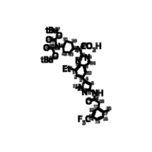 CCc1cc(-c2cc(NC(=O)Cc3cc(C(F)(F)F)ccc3C)nn2C)cc2cnc(N(C(=O)O)C3CCC(N(C(=O)OC(C)(C)C)C(=O)OC(C)(C)C)CC3)nc12